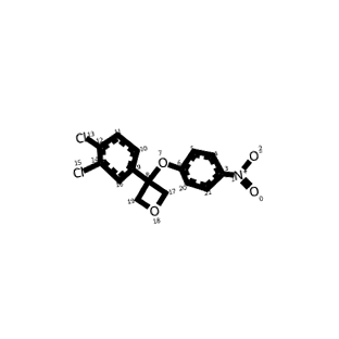 O=[N+]([O-])c1ccc(OC2(c3ccc(Cl)c(Cl)c3)COC2)cc1